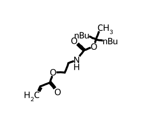 C=CC(=O)OCCNC(=O)OC(C)(CCCC)CCCC